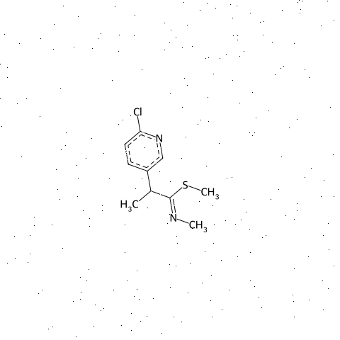 CN=C(SC)C(C)c1ccc(Cl)nc1